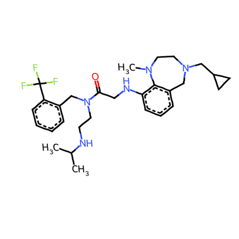 CC(C)NCCN(Cc1ccccc1C(F)(F)F)C(=O)CNc1cccc2c1N(C)CCN(CC1CC1)C2